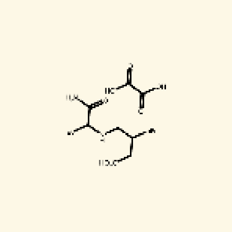 CCCC(CNC(CC)C(N)=O)CC(=O)O.O=C(O)C(=O)O